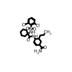 CCCC1CC(C(N)=O)C=CC1NC(=O)C1(NS(=O)(=O)c2c(Cl)cccc2Cl)CCCCC1